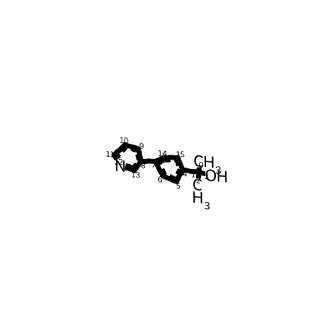 CC(C)(O)c1ccc(-c2cc[c]nc2)cc1